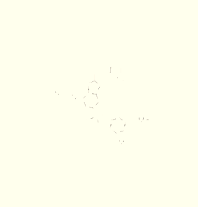 COc1cc(OC)cc(OS(=O)(=O)c2cc(N3CCN(C)CC3)c3occc3c2)c1.O=C(O)C(F)(F)F